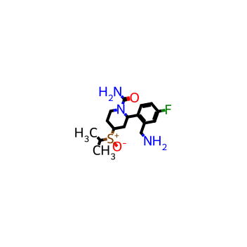 CC(C)[S+]([O-])C1CCN(C(N)=O)C(c2ccc(F)cc2CN)C1